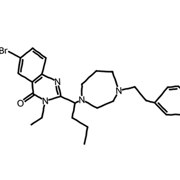 CCCC(c1nc2ccc(Br)cc2c(=O)n1CC)N1CCCN(CCc2ccccc2)CC1